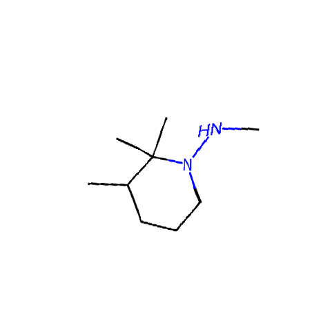 CNN1CCCC(C)C1(C)C